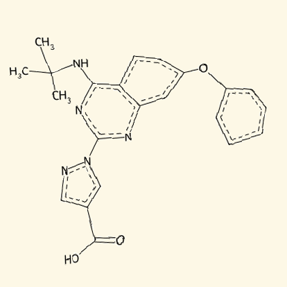 CC(C)(C)Nc1nc(-n2cc(C(=O)O)cn2)nc2cc(Oc3ccccc3)ccc12